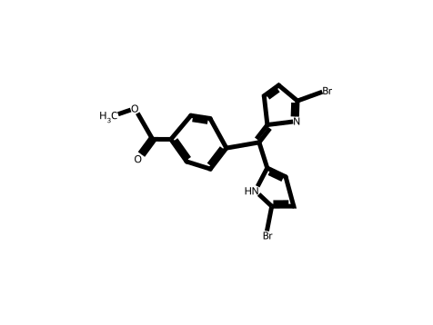 COC(=O)c1ccc(/C(=C2\C=CC(Br)=N2)c2ccc(Br)[nH]2)cc1